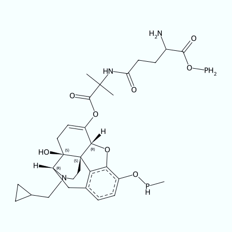 CPOc1ccc2c3c1O[C@H]1C(OC(=O)C(C)(C)NC(=O)CCC(N)C(=O)OP)=CC[C@@]4(O)[C@@H](C2)N(CC2CC2)CC[C@]314